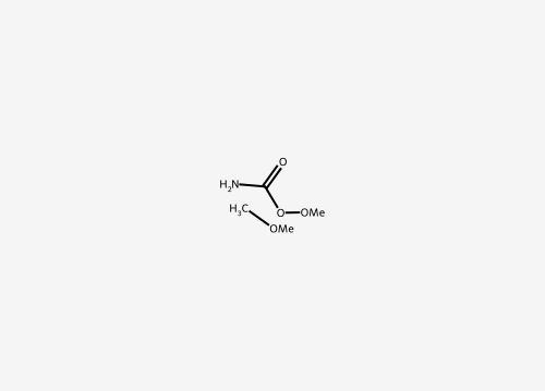 COC.COOC(N)=O